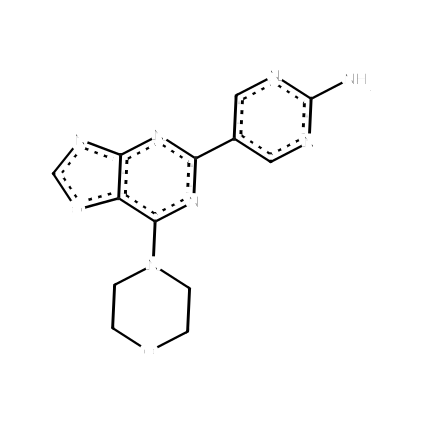 Nc1ncc(-c2nc(N3CCOCC3)c3ocnc3n2)cn1